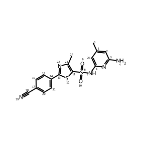 Cc1cc(N)nc(NS(=O)(=O)c2sc(-c3ccc(C#N)cc3)nc2C)c1